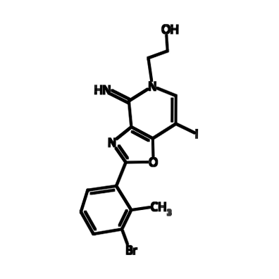 Cc1c(Br)cccc1-c1nc2c(=N)n(CCO)cc(I)c2o1